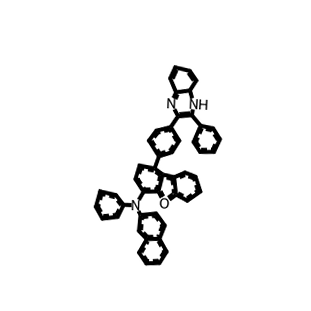 C1=CC2=NC(c3ccc(-c4ccc(N(c5ccccc5)c5ccc6ccccc6c5)c5oc6ccccc6c45)cc3)=C(c3ccccc3)NC2C=C1